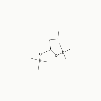 CCCC(O[Si](C)(C)C)O[Si](C)(C)C